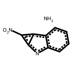 N.O=[N+]([O-])c1c2nc3ccccc3c1-2